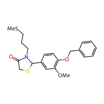 COc1cc(C2SCC(=O)N2CCCSC)ccc1OCc1ccccc1